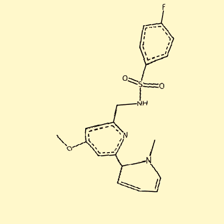 COc1cc(CNS(=O)(=O)c2ccc(F)cc2)nc(C2C=CC=CN2C)c1